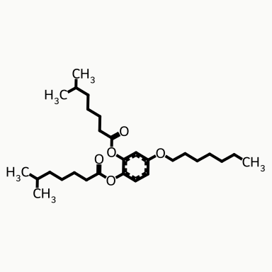 CCCCCCCOc1ccc(OC(=O)CCCCC(C)C)c(OC(=O)CCCCC(C)C)c1